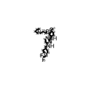 COc1ccc(Nc2nccc(NCC3CCN(CC(F)F)CC3)n2)cc1OCCCN1CCCC1